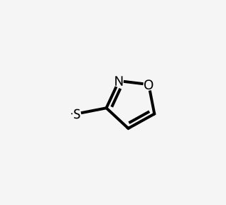 [S]c1ccon1